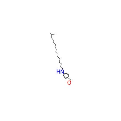 CC(C)CCCCCCCCCCCCCCNc1ccc([C]=O)cc1